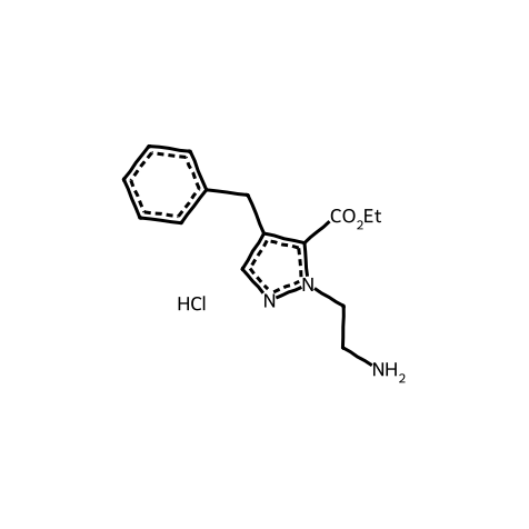 CCOC(=O)c1c(Cc2ccccc2)cnn1CCN.Cl